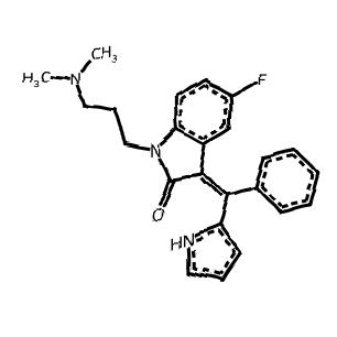 CN(C)CCCN1C(=O)/C(=C(/c2ccccc2)c2ccc[nH]2)c2cc(F)ccc21